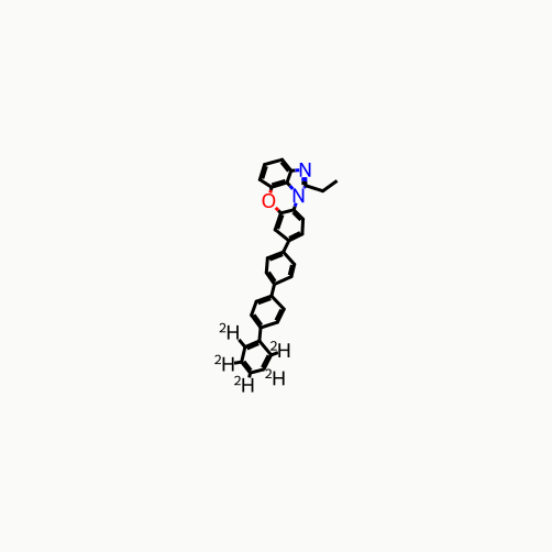 [2H]c1c([2H])c([2H])c(-c2ccc(-c3ccc(-c4ccc5c(c4)Oc4cccc6nc(CC)n-5c46)cc3)cc2)c([2H])c1[2H]